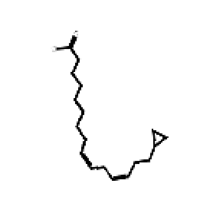 O=C(Cl)CCCCCCC/C=C\C/C=C\CCC1CC1